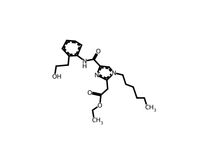 CCCCCCn1cc(C(=O)Nc2ccccc2CCO)nc1CC(=O)OCC